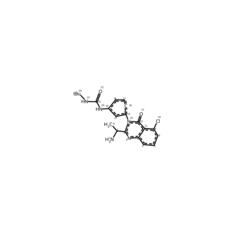 CC(N)c1nc2cccc(Cl)c2c(=O)n1-c1cccc(NC(=O)NC(C)(C)C)c1